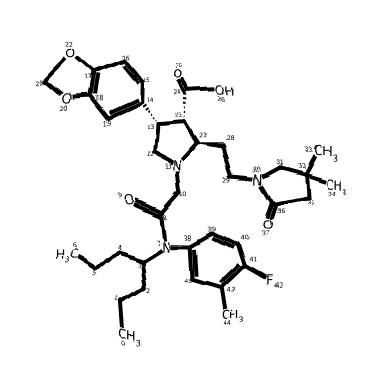 CCCC(CCC)N(C(=O)CN1C[C@H](c2ccc3c(c2)OCO3)[C@H](C(=O)O)[C@H]1CCN1CC(C)(C)CC1=O)c1ccc(F)c(C)c1